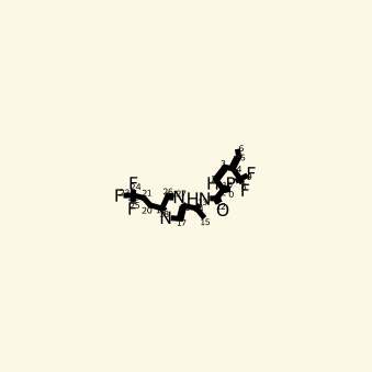 C=C(/C=C\C(=C/C)C(F)(F)P)C(=O)NC(C)c1cnc(CCC(F)(F)F)cn1